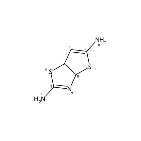 NC1=CC2SC(N)=NC2S1